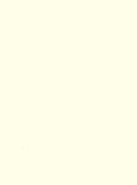 O=C(O)CCC(=O)OCCC1C=CC=C1